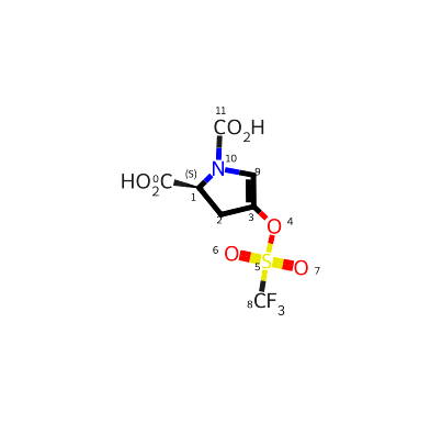 O=C(O)[C@@H]1CC(OS(=O)(=O)C(F)(F)F)=CN1C(=O)O